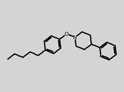 CCCCCc1ccc(ON2CCC(c3[c]cccc3)CC2)cc1